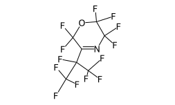 FC1(F)OC(F)(F)C(F)(F)N=C1C(F)(C(F)(F)F)C(F)(F)F